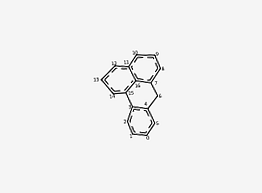 c1ccc2c(c1)Cc1cccc3cccc-2c13